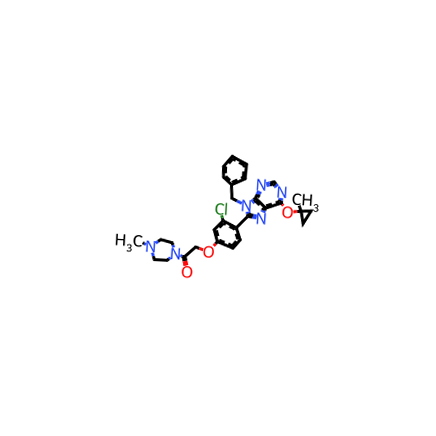 CN1CCN(C(=O)COc2ccc(-c3nc4c(OC5(C)CC5)ncnc4n3Cc3ccccc3)c(Cl)c2)CC1